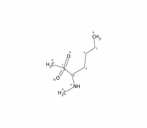 CCCCC(NC)S(C)(=O)=O